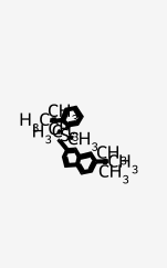 CC(C)(C)c1ccc2ccc(CS(C)(C)c3ccccc3C(C)(C)C)cc2c1